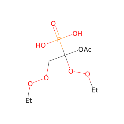 CCOOCC(OOCC)(OC(C)=O)P(=O)(O)O